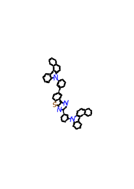 c1cc(-c2ccc3sc4nc(-c5cccc(-n6c7ccccc7c7c8ccccc8ccc76)c5)cnc4c3c2)cc(-n2c3ccccc3c3c4ccccc4ccc32)c1